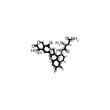 CC[C@@]1(O)C(=O)OCc2c1cc1n(c2=O)Cc2c-1nc1cc(F)c(C)c3c1c2[C@@H](NC(=O)[C@@H](N)CC(N)=O)CC3